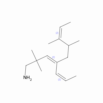 C/C=C\C(=C/C(C)(C)CN)CC(C)/C(C)=C\C